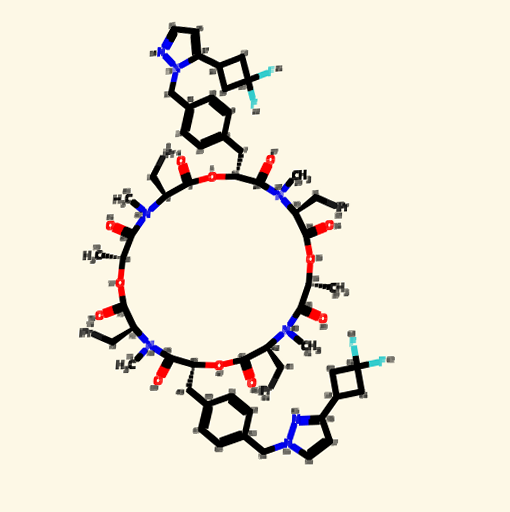 CC(C)C[C@H]1C(=O)O[C@H](Cc2ccc(Cn3nccc3C3CC(F)(F)C3)cc2)C(=O)N(C)[C@@H](CC(C)C)C(=O)O[C@H](C)C(=O)N(C)[C@@H](CC(C)C)C(=O)O[C@H](Cc2ccc(Cn3ccc(C4CC(F)(F)C4)n3)cc2)C(=O)N(C)[C@@H](CC(C)C)C(=O)O[C@H](C)C(=O)N1C